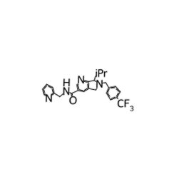 CC(C)C1c2ncc(C(=O)NCc3ccccn3)cc2CN1Cc1ccc(C(F)(F)F)cc1